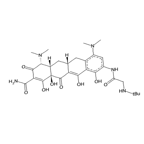 CN(C)c1cc(NC(=O)CNC(C)(C)C)c(O)c2c1C[C@H]1C[C@H]3[C@@H](N(C)C)C(=O)C(C(N)=O)=C(O)[C@@]3(O)C(=O)C1=C2O